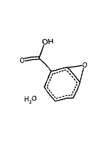 O.O=C(O)c1cccc2c1O2